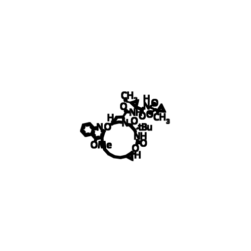 C=C[C@@H]1C[C@]1(NC(=O)[C@@H]1C[C@@H]2CN1C(=O)[C@H](C(C)(C)C)NC(=O)O[C@@H]1CC1CCCCCc1c(nc3ccccc3c1OC)O2)C(=O)NS(=O)(=O)C1(C)CC1